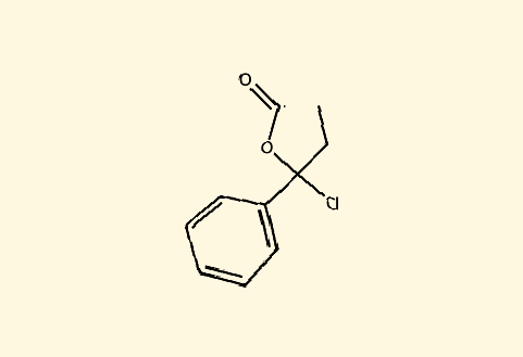 CCC(Cl)(O[C]=O)c1ccccc1